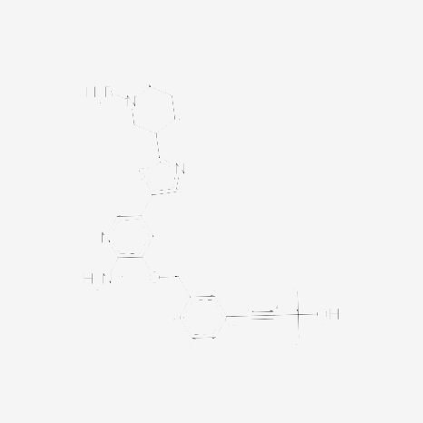 BN1CCCC(c2ncc(-c3cnc(N)c(OCc4cccc(C#CC(C)(C)O)c4)c3)s2)C1